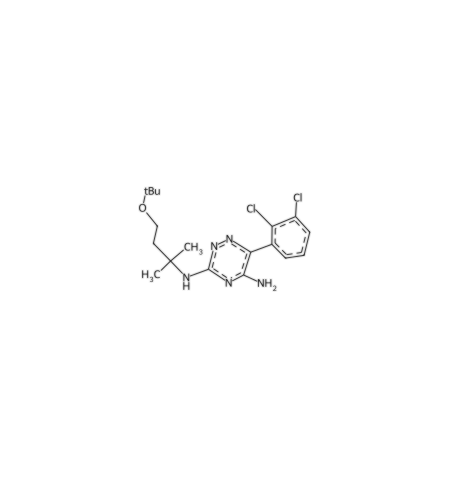 CC(C)(CCOC(C)(C)C)Nc1nnc(-c2cccc(Cl)c2Cl)c(N)n1